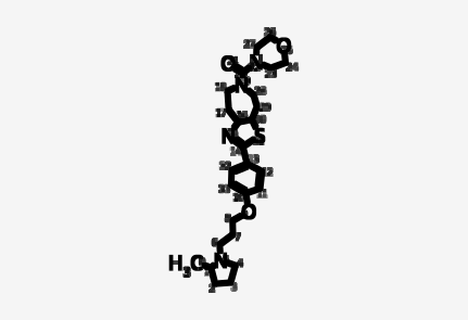 CC1CCCN1CCCOc1ccc(C2=NC3CCN(C(=O)N4CCOCC4)CCC3S2)cc1